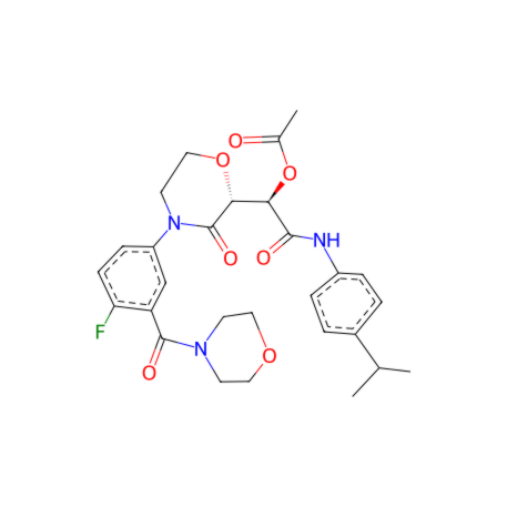 CC(=O)O[C@@H](C(=O)Nc1ccc(C(C)C)cc1)[C@H]1OCCN(c2ccc(F)c(C(=O)N3CCOCC3)c2)C1=O